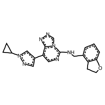 c1cc(CNc2ncc(-c3cnn(C4CC4)c3)c3nncn23)c2c(c1)OCC2